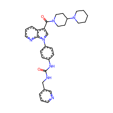 O=C(NCc1cccnc1)Nc1ccc(-n2cc(C(=O)N3CCC(N4CCCCC4)CC3)c3cccnc32)cc1